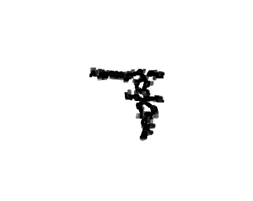 CCO[Si](OCC)(OCC)OCC.CCO[Si](OCC)(OCC)OCC.[Al+3].[Al+3].[Al+3].[Al+3].[O-2].[O-2].[O-2].[O-2].[O-2].[O-2]